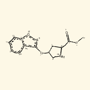 COC(=O)C1CC(Oc2noc3ccccc23)CN1